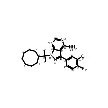 CC(C)(C1CCCCCCC1)n1nc(-c2ccc(F)c(O)c2)c2c(N)ncnc21